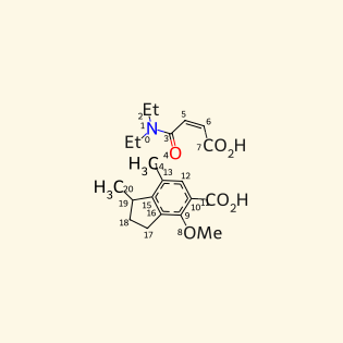 CCN(CC)C(=O)/C=C\C(=O)O.COc1c(C(=O)O)cc(C)c2c1CCC2C